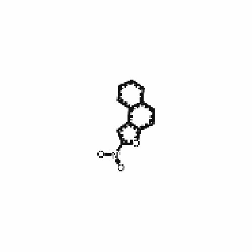 O=[N+]([O-])c1cc2c(ccc3ccccc32)o1